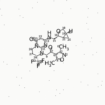 Cc1noc(C)c1C(=O)CN1c2nc(NC[C@H]3OC[C@@H]4CC43)cc(=O)n2CC[C@H]1C(F)(F)F